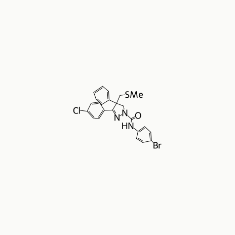 CSCC1(c2ccccc2)CN(C(=O)Nc2ccc(Br)cc2)N=C1c1ccc(Cl)cc1